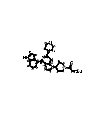 CC(C)(C)CC(=O)N1CCC(n2cnc3c(-c4cccc5[nH]ccc45)nc(N4CCOCC4)nc32)CC1